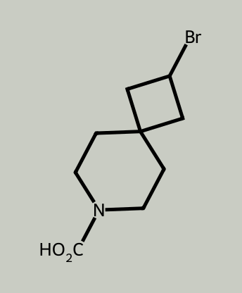 O=C(O)N1CCC2(CC1)CC(Br)C2